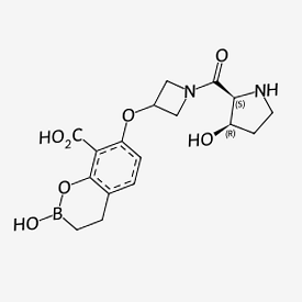 O=C(O)c1c(OC2CN(C(=O)[C@H]3NCC[C@H]3O)C2)ccc2c1OB(O)CC2